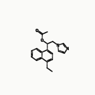 CCc1ccc(C(Cn2ccnc2)OC(C)=O)c2ccccc12